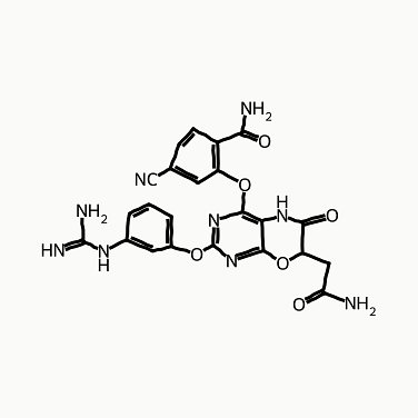 N#Cc1ccc(C(N)=O)c(Oc2nc(Oc3cccc(NC(=N)N)c3)nc3c2NC(=O)C(CC(N)=O)O3)c1